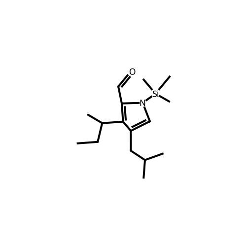 CCC(C)c1c(CC(C)C)cn([Si](C)(C)C)c1C=O